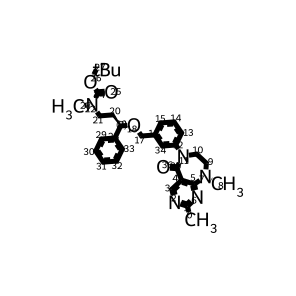 Cc1ncc2c(n1)N(C)CCN(c1cccc(CO[C@H](CCN(C)C(=O)OC(C)(C)C)c3ccccc3)c1)C2=O